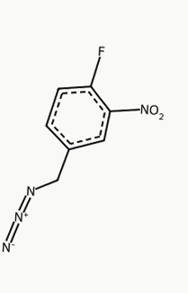 [N-]=[N+]=NCc1ccc(F)c([N+](=O)[O-])c1